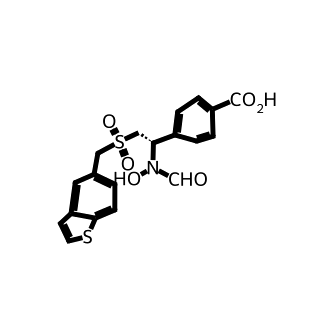 O=CN(O)[C@H](CS(=O)(=O)Cc1ccc2sccc2c1)c1ccc(C(=O)O)cc1